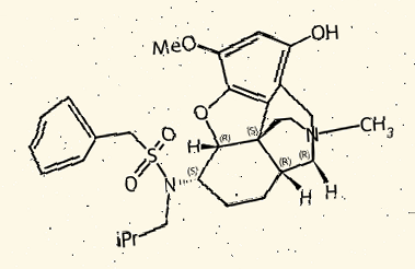 COc1cc(O)c2c3c1O[C@H]1[C@@H](N(CC(C)C)S(=O)(=O)Cc4ccccc4)CC[C@H]4[C@@H](C2)N(C)CC[C@@]341